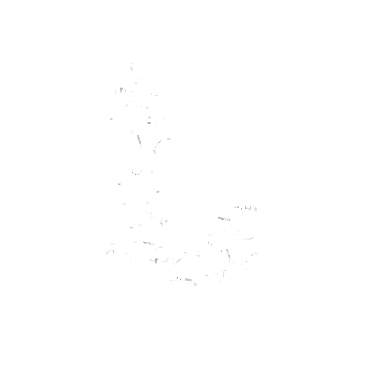 CNC(=O)c1ccccc1Nc1cc(Nc2cc(C)c(C3CCN(Cc4cccc(C5CCC(=O)NC5=O)c4)CC3)cc2OC(C)C)ncc1C(F)(F)F